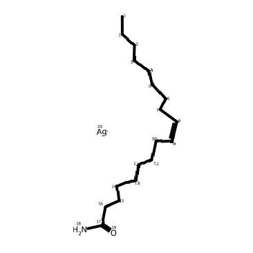 CCCCCCCC/C=C\CCCCCCCC(N)=O.[Ag]